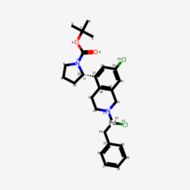 CC(C)(C)OC(=O)N1CCC[C@H]1c1cc(Cl)cc2c1CC[N]([Pd]([Cl])[CH2]c1ccccc1)C2